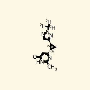 [2H]C([2H])([2H])n1ncc([C@H]2C[C@@H]2c2cc(=O)[nH]c(C)n2)n1